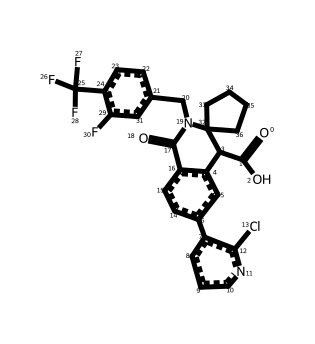 O=C(O)C1c2cc(-c3cccnc3Cl)ccc2C(=O)N(Cc2ccc(C(F)(F)F)c(F)c2)C12CCCC2